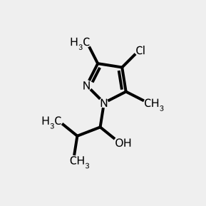 Cc1nn(C(O)C(C)C)c(C)c1Cl